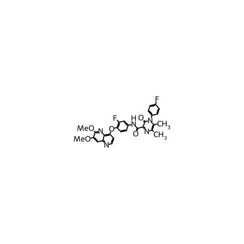 COc1cc2nccc(Oc3ccc(NC(=O)c4nc(C)c(C)n(-c5ccc(F)cc5)c4=O)cc3F)c2nc1OC